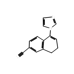 N#Cc1ccc2c(c1)CCC=C2n1ccnc1